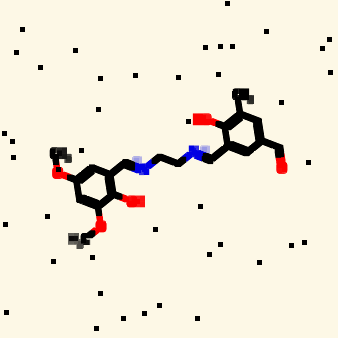 COc1cc(/C=N/CC/N=C/c2cc(C=O)cc(C)c2O)c(O)c(OC)c1